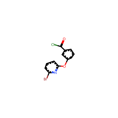 O=C(Cl)c1cccc(Oc2cccc(Br)n2)c1